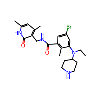 CCN(c1cc(Br)cc(C(=O)NCc2c(C)cc(C)[nH]c2=O)c1C)C1CCNCC1